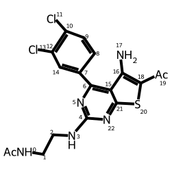 CC(=O)NCCNc1nc(-c2ccc(Cl)c(Cl)c2)c2c(N)c(C(C)=O)sc2n1